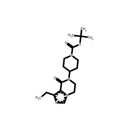 CCc1ncn2c1C(=O)N(C1CCN(C(=O)OC(C)(C)C)CC1)CC2